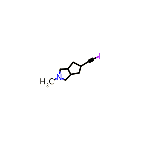 CN1CC2CC(C#CI)CC2C1